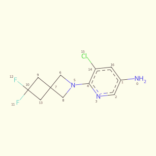 Nc1cnc(N2CC3(C2)CC(F)(F)C3)c(Cl)c1